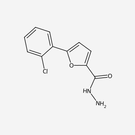 NNC(=O)c1ccc(-c2ccccc2Cl)o1